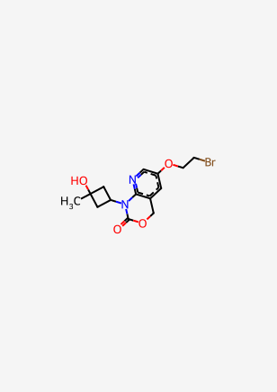 CC1(O)CC(N2C(=O)OCc3cc(OCCBr)cnc32)C1